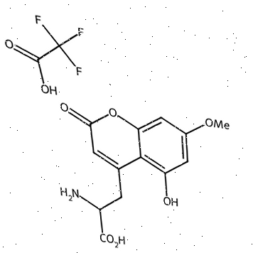 COc1cc(O)c2c(CC(N)C(=O)O)cc(=O)oc2c1.O=C(O)C(F)(F)F